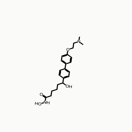 CN(C)CCOc1ccc(-c2ccc(C(O)CCCCC(=O)NO)cc2)cc1